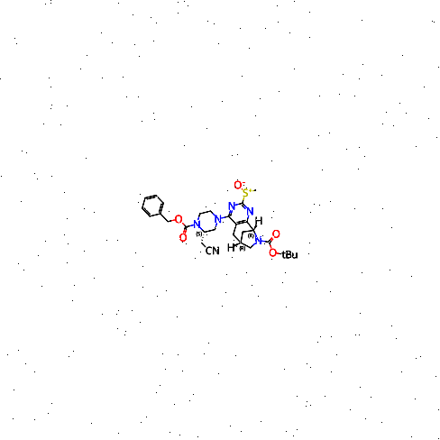 C[S+]([O-])c1nc2c(c(N3CCN(C(=O)OCc4ccccc4)[C@@H](CC#N)C3)n1)C[C@@H]1C[C@H]2N(C(=O)OC(C)(C)C)C1